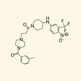 Cc1cccc(C(=O)N2CCN(CCC(=O)N3CCC(Nc4ccc([N+](=O)[O-])c(C(F)(F)F)c4)CC3)CC2)c1